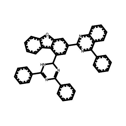 c1ccc(C2=NC(c3cc(-c4nc(-c5ccccc5)c5ccccc5n4)cc4oc5ccccc5c34)NC(c3ccccc3)=N2)cc1